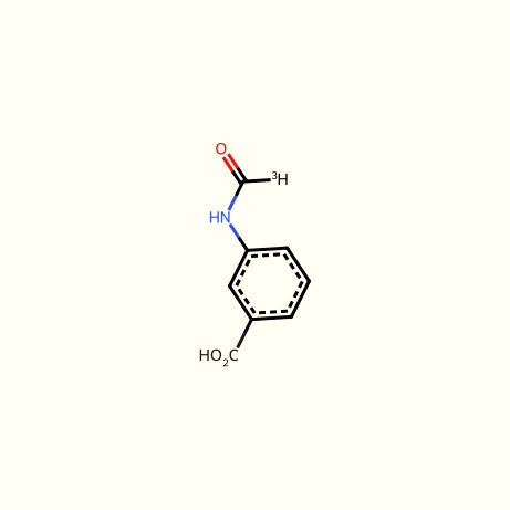 [3H]C(=O)Nc1cccc(C(=O)O)c1